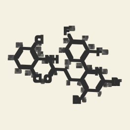 O=C(CCc1c(Br)cc(Br)nc1-c1ccc(F)cc1F)Nc1c(Cl)cccc1Cl